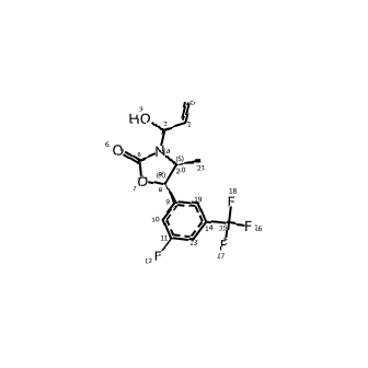 C=CC(O)N1C(=O)O[C@H](c2cc(F)cc(C(F)(F)F)c2)[C@@H]1C